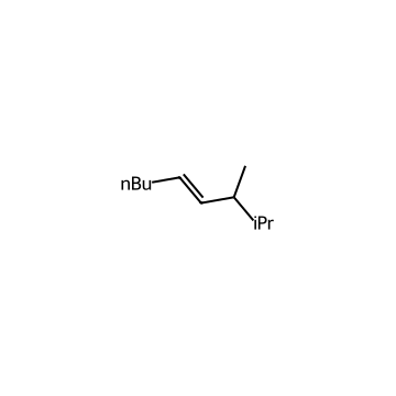 [CH2]C(C)C(C)C=CCCCC